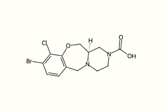 O=C(O)N1CCN2Cc3ccc(Br)c(Cl)c3OC[C@H]2C1